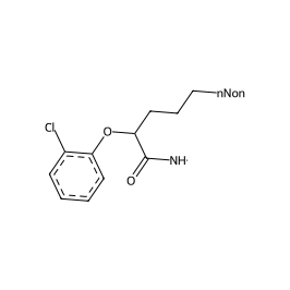 CCCCCCCCCCCCC(Oc1ccccc1Cl)C([NH])=O